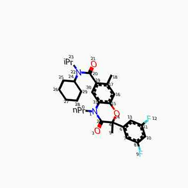 CCCN1C(=O)C(C)(c2cc(F)cc(F)c2)Oc2cc(C)c(C(=O)N(C(C)C)C3CCCCC3)cc21